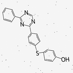 Oc1ccc(Sc2ccc(-c3ncnc(-c4ccccc4)n3)cc2)cc1